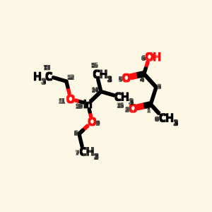 CC(=O)CC(=O)O.CC[O][In]([O]CC)[CH](C)C